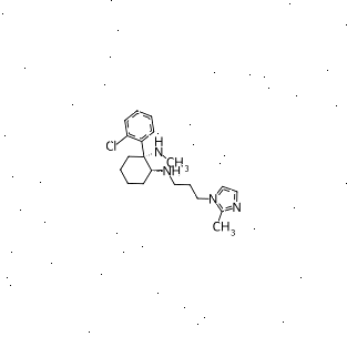 CN[C@@]1(c2ccccc2Cl)CCCC[C@@H]1NCCCn1ccnc1C